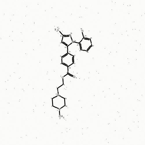 CN1CCN(CCOC(=O)c2ccc(-c3cc(C(F)(F)F)nn3-c3ccccc3Cl)cc2)CC1